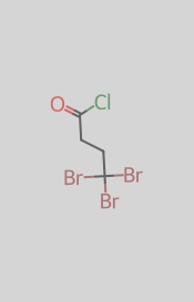 O=C(Cl)CCC(Br)(Br)Br